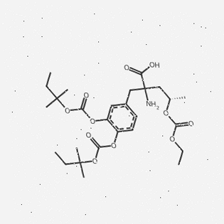 CCOC(=O)O[C@@H](C)CC(N)(Cc1ccc(OC(=O)OC(C)(C)CC)c(OC(=O)OC(C)(C)CC)c1)C(=O)O